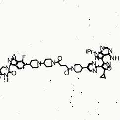 CC(C)n1nc(-c2noc(C3CC3)c2-c2ncc(C3CCN(C(=O)CCC(=O)N4CCC(N5CCC(c6ccc7c(N8CCC(=O)NC8=O)nn(C)c7c6F)CC5)CC4)CC3)cn2)c2c(N)ncnc21